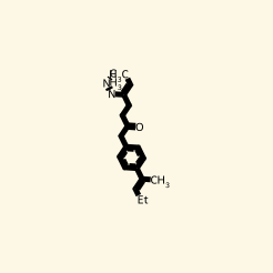 C/C=C(CCC(=O)Cc1ccc(/C(C)=C/CC)cc1)\N=N/C